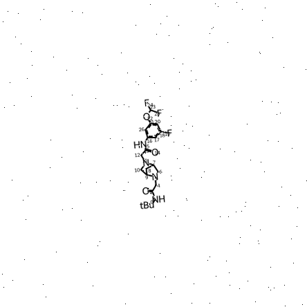 CC(C)(C)NC(=O)CN1CC2CC1CN2CC(=O)Nc1cc(F)cc(OC(F)F)c1